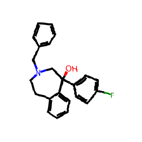 OC1(c2ccc(F)cc2)CN(Cc2ccccc2)CCc2ccccc21